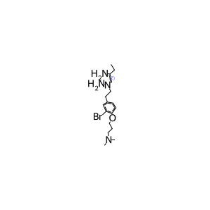 CC/C(N)=C/N(N)CCc1ccc(OCCCN(C)C)c(Br)c1